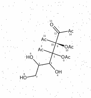 CC(=O)OC(C(C)=O)(C(O)C(O)CO)[C@](OC(C)=O)(C(C)=O)C(=O)C(C)=O